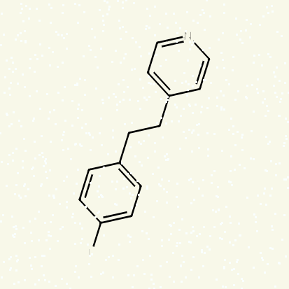 Fc1ccc(CCc2ccncc2)cc1